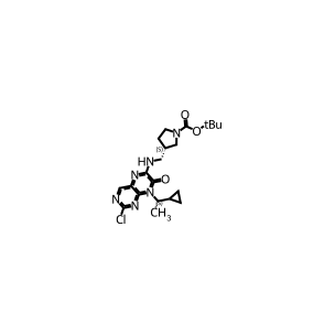 C[C@@H](C1CC1)n1c(=O)c(NC[C@@H]2CCN(C(=O)OC(C)(C)C)C2)nc2cnc(Cl)nc21